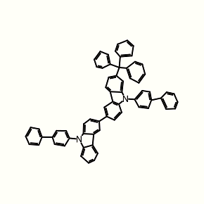 c1ccc(-c2ccc(-n3c4ccccc4c4cc(-c5ccc6c(c5)c5ccc(C(c7ccccc7)(c7ccccc7)c7ccccc7)cc5n6-c5ccc(-c6ccccc6)cc5)ccc43)cc2)cc1